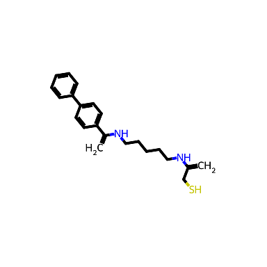 C=C(CS)NCCCCCNC(=C)c1ccc(-c2ccccc2)cc1